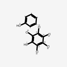 Oc1ccccc1.Sc1c(Cl)c(Cl)c(Cl)c(Cl)c1Cl